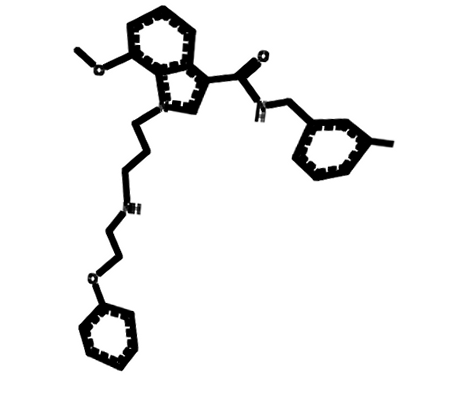 COc1cccc2c(C(=O)NCc3cccc(C)c3)cn(CCCNCCOc3ccccc3)c12